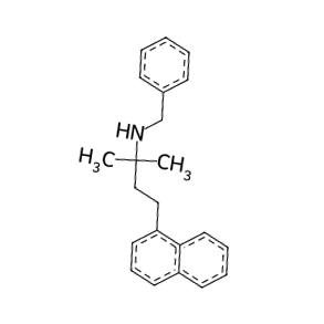 CC(C)(CCc1cccc2ccccc12)NCc1ccccc1